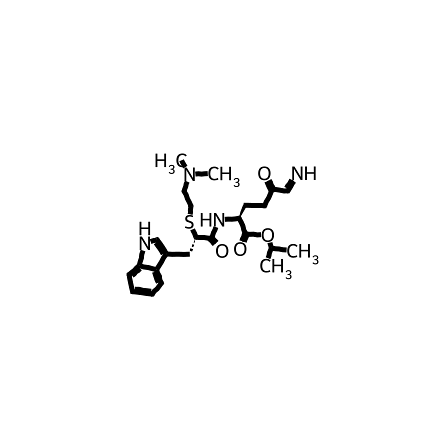 CC(C)OC(=O)[C@H](CCC(=O)C=N)NC(=O)[C@H](Cc1c[nH]c2ccccc12)SCCN(C)C